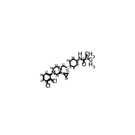 CN(C)C(=O)N[C@H]1CC[C@H](CCN2CCN(c3cccc(Cl)c3Cl)C[C@H]2C2CC2)CC1